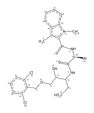 Cc1c(C(=O)N[C@H](C(=O)NC(CC(=O)O)C(O)COCc2c(Cl)cccc2Cl)C(C)C)n(C)c2ccccc12